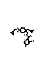 O=C(NCC1(CC2CC2)CCC(S(=O)(=O)CC2CC2)CC1)c1ncc(Cl)cc1Cl